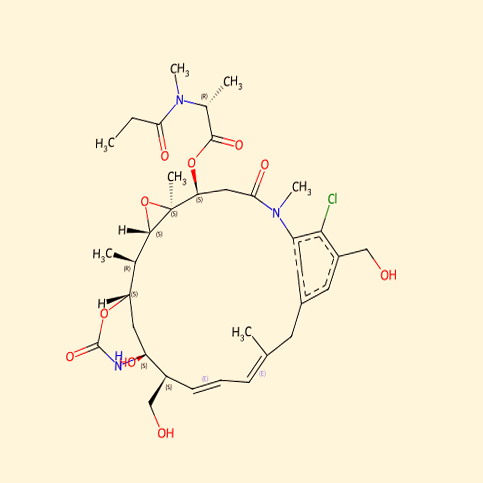 CCC(=O)N(C)[C@H](C)C(=O)O[C@H]1CC(=O)N(C)c2cc(cc(CO)c2Cl)C/C(C)=C/C=C/[C@@H](CO)[C@@]2(O)C[C@H](OC(=O)N2)[C@@H](C)[C@@H]2O[C@@]12C